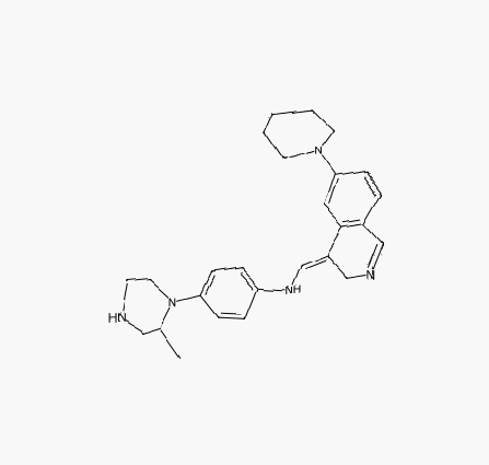 CC1CNCCN1c1ccc(NC=C2CN=Cc3ccc(N4CCCCC4)cc32)cc1